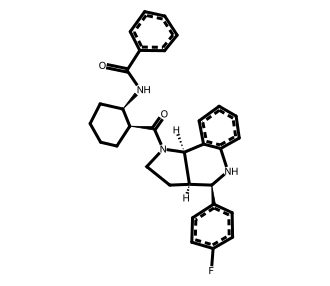 O=C(N[C@@H]1CCCC[C@@H]1C(=O)N1CC[C@@H]2[C@H](c3ccc(F)cc3)Nc3ccccc3[C@@H]21)c1ccccc1